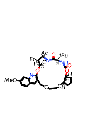 CC[C@@H]1[C@@H]2CN(C(=O)[C@H](C(C)(C)C)NC(=O)O[C@@H]3CCC[C@H]3CCCCCc3cc4ccc(OC)cc4nc3O2)[C@@H]1C(C)=O